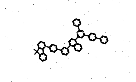 CC1(C)c2ccccc2-c2c(-c3ccc(-c4cccc(-c5ccc(-c6cc(-c7ccc(-c8ccccc8)cc7)nc(-c7ccccc7)n6)c6ccccc56)c4)cc3)cccc21